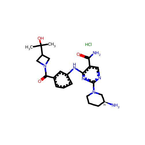 CC(C)(O)C1CN(C(=O)c2cccc(Nc3nc(N4CCC[C@H](N)C4)ncc3C(N)=O)c2)C1.Cl